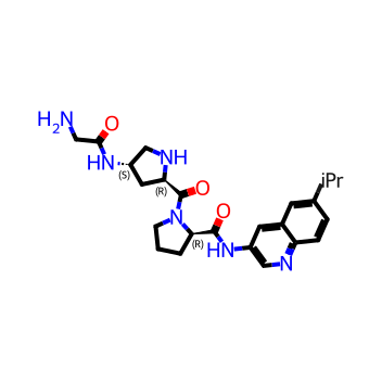 CC(C)c1ccc2ncc(NC(=O)[C@H]3CCCN3C(=O)[C@H]3C[C@H](NC(=O)CN)CN3)cc2c1